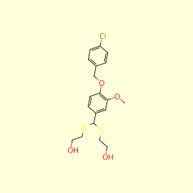 COc1cc(C(SCCO)SCCO)ccc1OCc1ccc(Cl)cc1